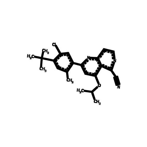 Cc1cc(C(C)(C)C)c(Cl)cc1-c1cc(OC(C)C)c2c(C#N)nccc2n1